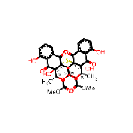 COC(=O)C[C@@H]1C[C@]2(S[C@]34C[C@@H](CC(=O)OC)O[C@H](C)[C@]3(O)C(=O)c3c(O)cccc3C4=O)C(=O)c3cccc(O)c3C(=O)[C@@]2(O)[C@@H](C)O1